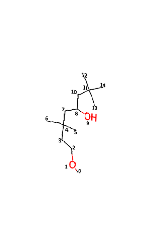 COCCC(C)(C)CC(O)CC(C)(C)C